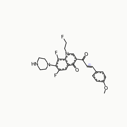 COc1ccc(/C=C/C(=O)c2cn(CCF)c3c(F)c(N4CCNCC4)c(F)cc3c2=O)cc1